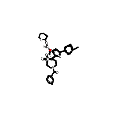 Cc1ccc(-c2ccc([C@@]3(CC(=O)NOC4CCCCO4)CCN(C(=O)c4ccccc4)CCS3(=O)=O)s2)cc1